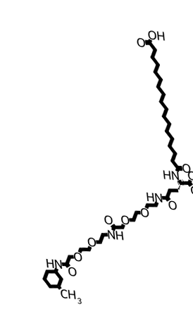 CC1CCCC(NC(=O)COCCOCCNC(=O)COCCOCCNC(=O)CC[C@H](NC(=O)CCCCCCCCCCCCCCCCC(=O)O)C(=O)O)C1